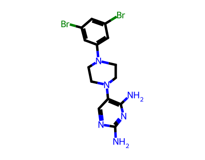 Nc1ncc(N2CCN(c3cc(Br)cc(Br)c3)CC2)c(N)n1